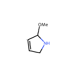 COC1[C]=CCN1